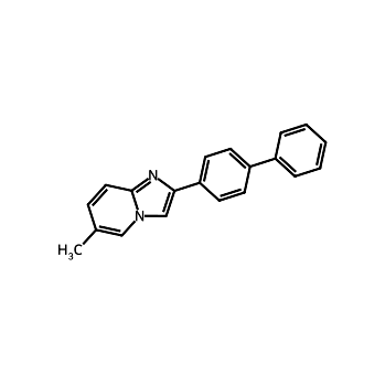 Cc1ccc2nc(-c3ccc(-c4ccccc4)cc3)cn2c1